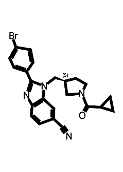 N#Cc1ccc2nc(-c3ccc(Br)cc3)n(C[C@H]3CCN(C(=O)C4CC4)C3)c2c1